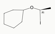 C[C@@H](I)OC1CCCCC1